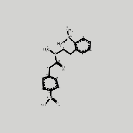 CN(CCc1ccccc1N(C)C)C(=O)Cc1ccc([N+](=O)[O-])cc1